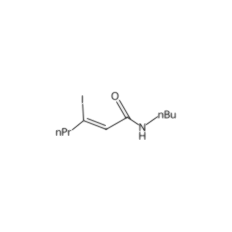 CCCCNC(=O)C=C(I)CCC